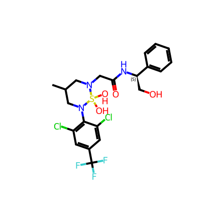 CC1CN(CC(=O)N[C@H](CO)c2ccccc2)S(O)(O)N(c2c(Cl)cc(C(F)(F)F)cc2Cl)C1